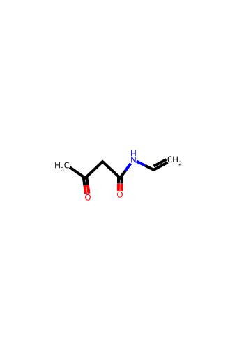 C=CNC(=O)CC(C)=O